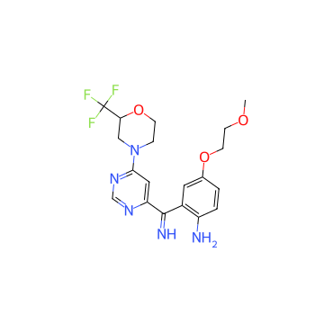 COCCOc1ccc(N)c(C(=N)c2cc(N3CCOC(C(F)(F)F)C3)ncn2)c1